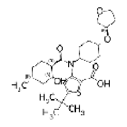 C[C@@H]1CC[C@@H](C(=O)N(c2cc(C(C)(C)C)sc2C(=O)O)[C@H]2CC[C@H](O[C@@H]3CCOC3)CC2)[C@@H](O)C1